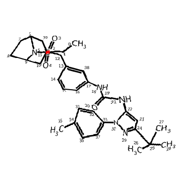 CCS(=O)(=O)N1C2CCC1CC(Cc1cccc(NC(=O)Nc3cc(C(C)(C)C)nn3-c3ccc(C)cc3)c1)C2